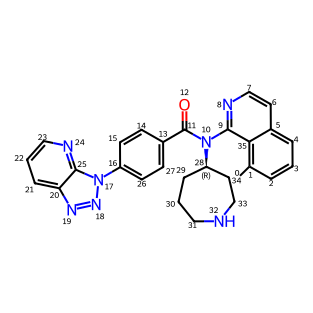 Cc1cccc2ccnc(N(C(=O)c3ccc(-n4nnc5cccnc54)cc3)[C@@H]3CCCNCC3)c12